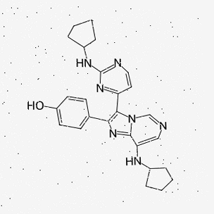 Oc1ccc(-c2nc3c(NC4CCCC4)cncn3c2-c2ccnc(NC3CCCC3)n2)cc1